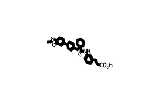 Cc1nc2ccc(-c3ccc(CC4(C(=O)Nc5cccc(/C=C/C(=O)O)c5)CCCCC4)cc3)cc2o1